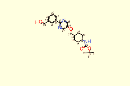 CC(C)(C)OC(=O)NC1CCC(COc2cnc(-c3cccc(CO)c3)nc2)CC1